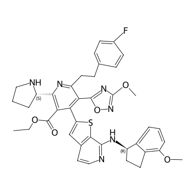 CCOC(=O)c1c([C@@H]2CCCN2)nc(CCc2ccc(F)cc2)c(-c2nc(OC)no2)c1-c1cc2ccnc(N[C@@H]3CCc4c(OC)cccc43)c2s1